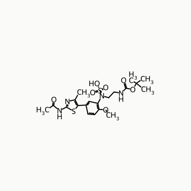 COc1ccc(-c2sc(NC(C)=O)nc2C)cc1N(CCNC(=O)OC(C)(C)C)S(=O)(=O)O